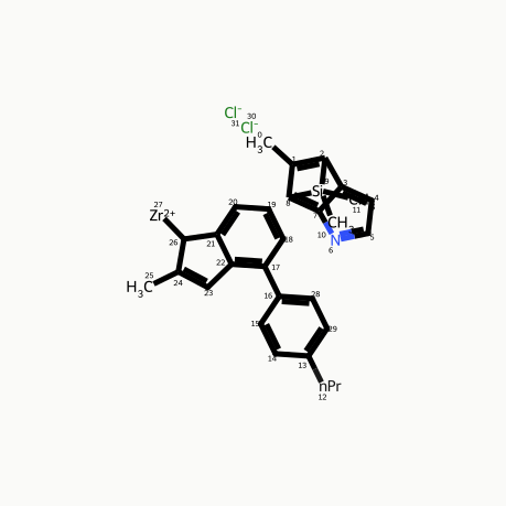 CC1=C2C3=CC=NC3=C1[Si]2(C)C.CCCc1ccc(-c2cccc3c2C=C(C)[CH]3[Zr+2])cc1.[Cl-].[Cl-]